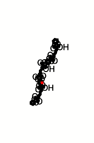 O=C1OC2(CCCCC2)OC(=O)C1=C/C=C/C=C/C1=C(O)OC2(CCC3(CC2)OC(=O)C(=C/C=C/C=C/C2=C(O)OC4(CCC5(CC4)OC(=O)C(=C/C=C/C=C/C4=C(O)OC6(CCCCC6)OC4=O)C(=O)O5)OC2=O)C(=O)O3)OC1=O